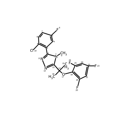 Cn1c(-c2cc(F)ccc2Cl)nnc1C(C)(C)Oc1c(F)cc(F)cc1F